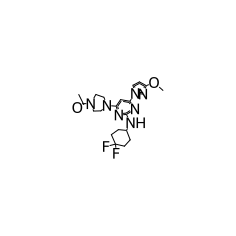 COc1ccn(-c2cc(N3CCN(C(C)=O)CC3)nc(NC3CCC(F)(F)CC3)n2)n1